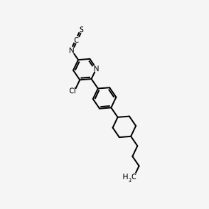 CCCCC1CCC(c2ccc(-c3ncc(N=C=S)cc3Cl)cc2)CC1